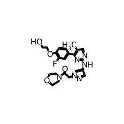 Cc1cnc(Nc2cnn(CC(=O)N3CCOCC3)c2)nc1-c1ccc(OCCO)c(F)c1